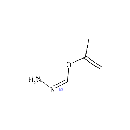 C=C(C)O/C=N\N